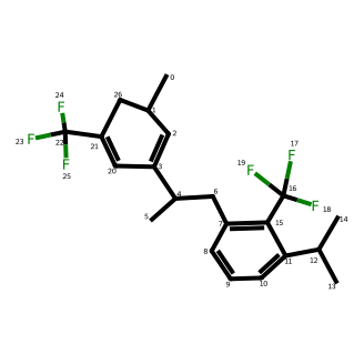 CC1C=C(C(C)Cc2cccc(C(C)C)c2C(F)(F)F)C=C(C(F)(F)F)C1